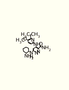 COc1ccc(Nc2cc(N[C@@H]3CCCC[C@@H]3N)nnc2C(N)=O)nc1C(C)C